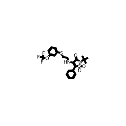 CC(C)(C)N1C(=O)C(NCCSc2cccc(OC(F)(F)F)c2)=C(c2ccccc2)S1(=O)=O